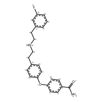 NC(=O)c1ccc(Oc2ccc(CCNCCc3cccc(F)c3)cc2)nc1